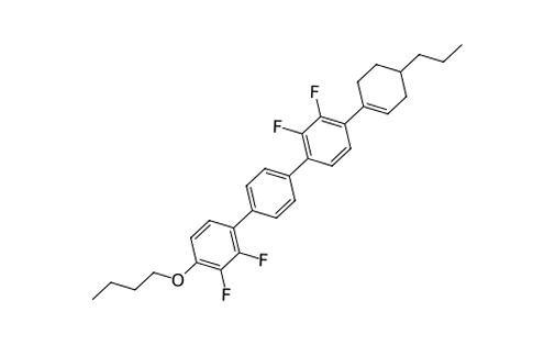 CCCCOc1ccc(-c2ccc(-c3ccc(C4=CCC(CCC)CC4)c(F)c3F)cc2)c(F)c1F